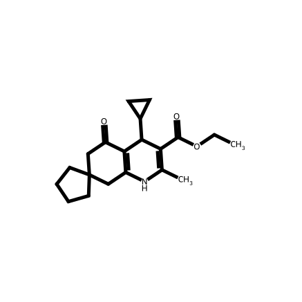 CCOC(=O)C1=C(C)NC2=C(C(=O)CC3(CCCC3)C2)C1C1CC1